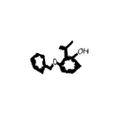 CC(C)c1c(O)cccc1OCc1ccccc1